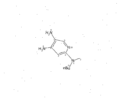 CCCCN(C)c1cc(N)c(N)cn1